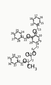 CC(CC(=O)OCCc1ccc(OCc2ccccc2)c(OCc2ccccc2)c1)OCc1ccccc1